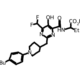 CCC(NC(=O)c1nc(CC2CCN(c3ccc(C(C)(C)C)cc3)CC2)nc(C(F)F)c1O)C(=O)O